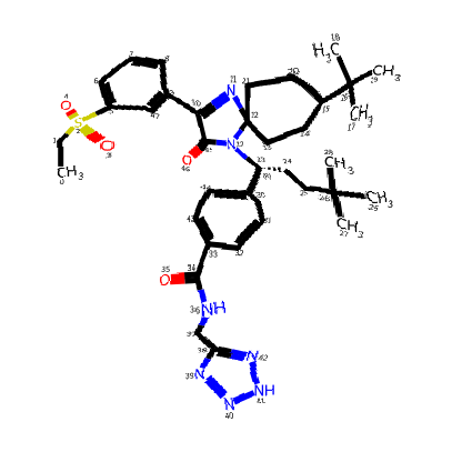 CCS(=O)(=O)c1cccc(C2=NC3(CCC(C(C)(C)C)CC3)N([C@H](CCC(C)(C)C)c3ccc(C(=O)NCc4nn[nH]n4)cc3)C2=O)c1